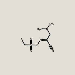 CN(C)CC(C#N)=NOS(=O)(=O)CF